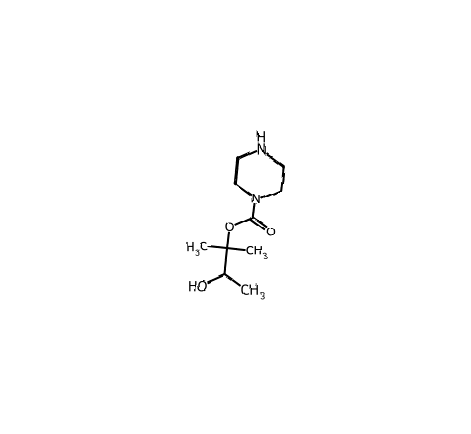 CC(O)C(C)(C)OC(=O)N1CCNCC1